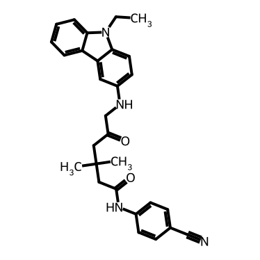 CCn1c2ccccc2c2cc(NCC(=O)CC(C)(C)CC(=O)Nc3ccc(C#N)cc3)ccc21